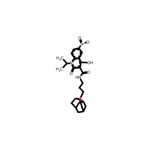 CC(C)n1c(=O)c(C(=O)NCCCN2C3CC4CC(C3)CC2C4)c(O)c2cc([N+](=O)[O-])ccc21